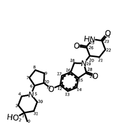 CC1(O)CCN(C2CCCC2Oc2ccc3c(c2)CN(C2CCC(=O)NC2=O)C3=O)CC1